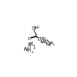 CC(=O)OC(=O)OC(C)=O.N.N.N.N